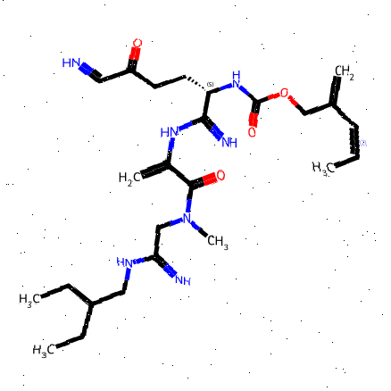 C=C(/C=C\C)COC(=O)N[C@@H](CCC(=O)C=N)C(=N)NC(=C)C(=O)N(C)CC(=N)NCC(CC)CC